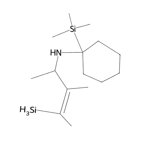 CC([SiH3])=C(C)C(C)NC1([Si](C)(C)C)CCCCC1